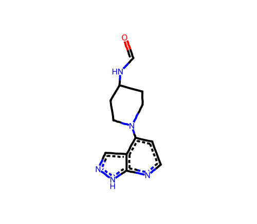 O=CNC1CCN(c2ccnc3[nH]ncc23)CC1